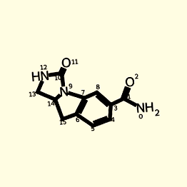 NC(=O)c1ccc2c(c1)N1C(=O)NCC1C2